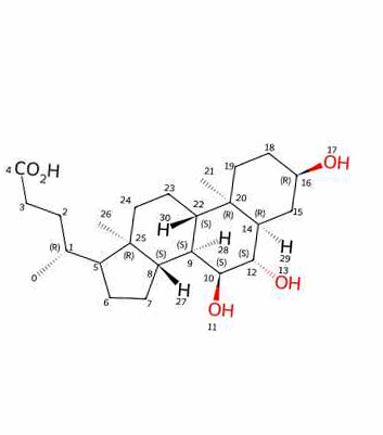 C[C@H](CCC(=O)O)C1CC[C@H]2[C@@H]3[C@H](O)[C@@H](O)[C@@H]4C[C@H](O)CC[C@]4(C)[C@H]3CC[C@]12C